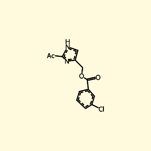 CC(=O)c1nc(COC(=O)c2cccc(Cl)c2)c[nH]1